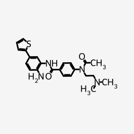 CC(=O)N(CCN(C)C)c1ccc(C(=O)Nc2cc(-c3cccs3)ccc2N)cc1